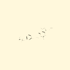 CCCc1nn(C)c2c(=O)n(CCOc3cccc(OC(C)(C)C(=O)O)c3)c(C)nc12